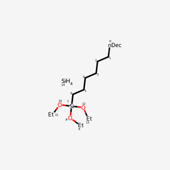 CCCCCCCCCCCCCCCC[Si](OCC)(OCC)OCC.[SiH4]